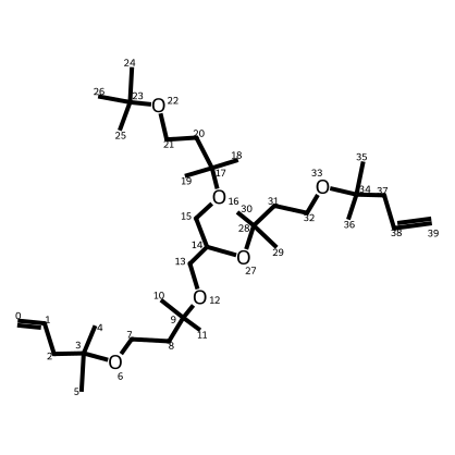 C=CCC(C)(C)OCCC(C)(C)OCC(COC(C)(C)CCOC(C)(C)C)OC(C)(C)CCOC(C)(C)CC=C